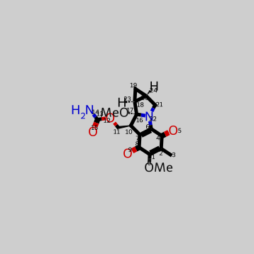 COC1=C(C)C(=O)C2=C(C1=O)[C@@H](COC(N)=O)[C@@]1(OC)[C@H]3C[C@H]3CN21